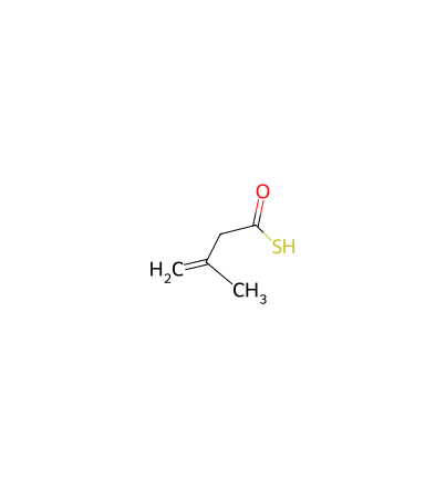 C=C(C)CC(=O)S